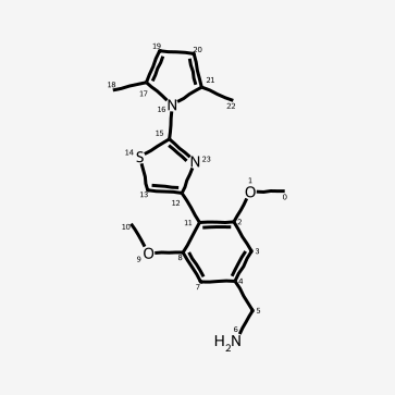 COc1cc(CN)cc(OC)c1-c1csc(-n2c(C)ccc2C)n1